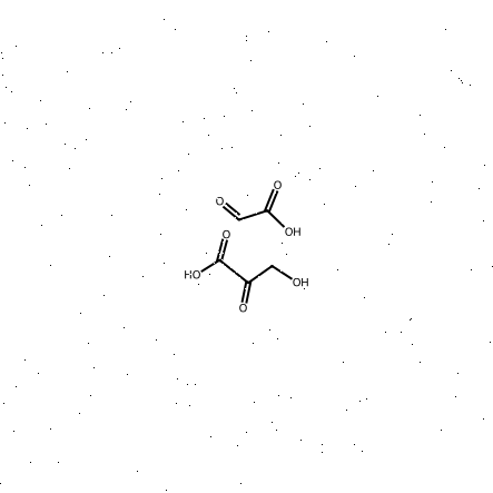 O=C(O)C(=O)CO.O=CC(=O)O